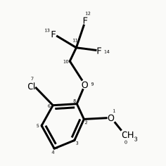 COc1c[c]cc(Cl)c1OCC(F)(F)F